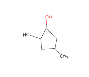 CC1CC(O)C(C#N)C1